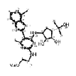 COC[C@@H](C)Nc1nc(C)c(-c2nc3c(C)nccc3s2)c(NC2C[C@H](C(C)(C)O)[C@@H](O)[C@H]2O)n1